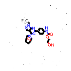 O=C(Nc1ccc(-c2nc(N3CC4CCC(C3)O4)c3cnn(CC(F)(F)F)c3n2)cc1)OCCO